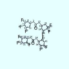 O=C(Cc1cc(F)c(F)c(F)c1)Cc1cc(F)c(F)c(F)c1.O=C(Cc1cc(F)c(F)cc1F)Cc1cc(F)c(F)cc1F